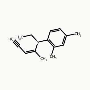 C#C/C=C(/C)N(CC)c1ccc(C)cc1C